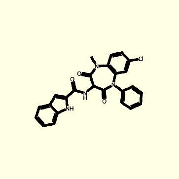 CN1C(=O)C(NC(=O)c2cc3ccccc3[nH]2)C(=O)N(c2ccccc2)c2cc(Cl)ccc21